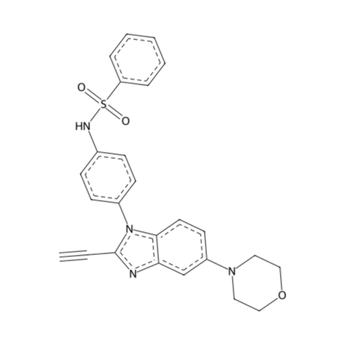 C#Cc1nc2cc(N3CCOCC3)ccc2n1-c1ccc(NS(=O)(=O)c2ccccc2)cc1